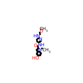 CCn1c(C(=O)NC2=CN=C(NCCOC)CC2)cc2cc(O)ccc21